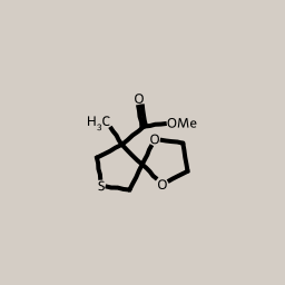 COC(=O)C1(C)CSCC12OCCO2